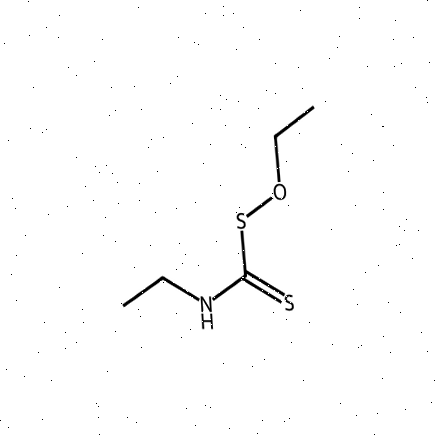 CCNC(=S)SOCC